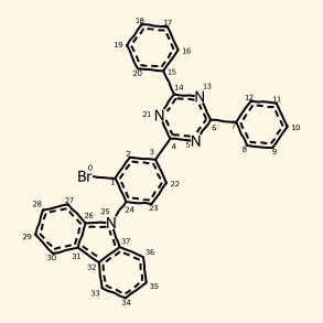 Brc1cc(-c2nc(-c3ccccc3)nc(-c3ccccc3)n2)ccc1-n1c2ccccc2c2ccccc21